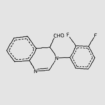 O=CC1c2ccccc2N=CN1c1cccc(F)c1F